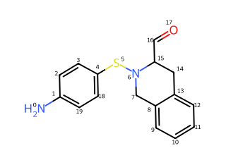 Nc1ccc(SN2Cc3ccccc3CC2C=O)cc1